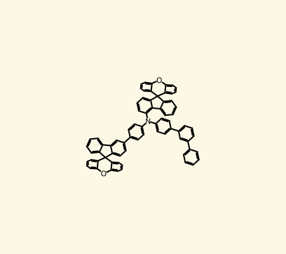 c1ccc(-c2cccc(-c3ccc(N(c4ccc(-c5ccc6c(c5)-c5ccccc5C65c6ccccc6Oc6ccccc65)cc4)c4cccc5c4-c4ccccc4C54c5ccccc5Oc5ccccc54)cc3)c2)cc1